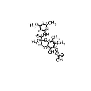 Cc1cc(C)nc(NC(=S)C2(C)CCc3c(C)c(OCC(=O)O)c(C)c(C)c3O2)c1